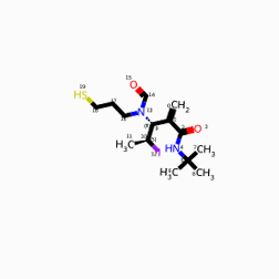 C=C(C(=O)NC(C)(C)C)[C@H]([C@H](C)I)N(C=O)CCCS